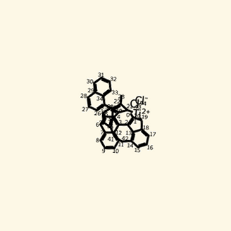 CC1=C(c2cccc3ccccc23)c2c3cccc2[CH]1[Ti+2][CH]1C(C)=C(c2cccc4ccccc24)c2c(cccc21)CC3.[Cl-].[Cl-]